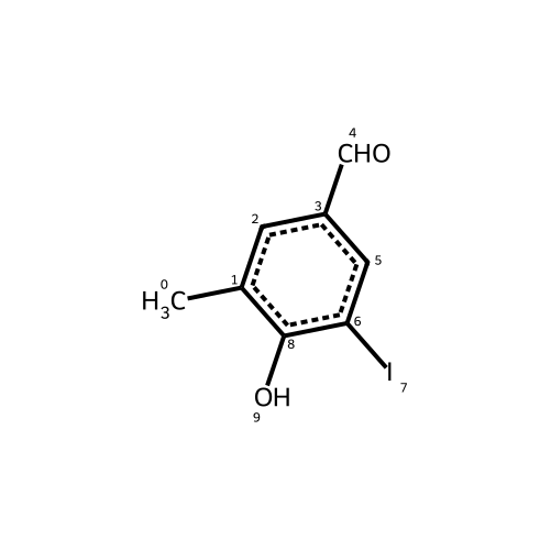 Cc1cc(C=O)cc(I)c1O